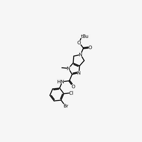 Cn1c(C(=O)Nc2cccc(Br)c2Cl)nc2c1CN(C(=O)OC(C)(C)C)C2